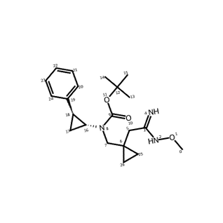 CONC(=N)CC1(CN(C(=O)OC(C)(C)C)[C@@H]2C[C@H]2c2ccccc2)CC1